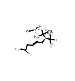 CC(C)CC=CCP(C(C)(C)C)C(C)(C)C.[Cl][Ni][Cl]